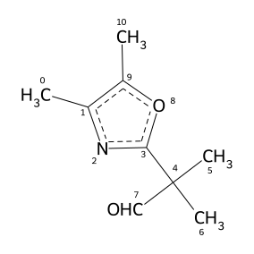 Cc1nc(C(C)(C)C=O)oc1C